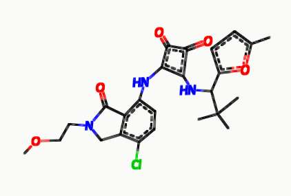 COCCN1Cc2c(Cl)ccc(Nc3c(NC(c4ccc(C)o4)C(C)(C)C)c(=O)c3=O)c2C1=O